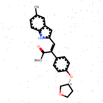 COC(=O)C(=Cc1cc2cc(C#N)ccc2[nH]1)c1ccc(O[C@@H]2CCOC2)cc1